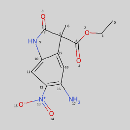 CCOC(=O)C1(C)C(=O)Nc2cc([N+](=O)[O-])c(N)cc21